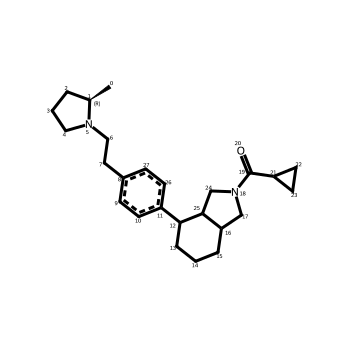 C[C@@H]1CCCN1CCc1ccc(C2CCCC3CN(C(=O)C4CC4)CC32)cc1